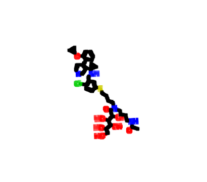 CC(=O)NCCCCN(CCCCSc1ccc(Cl)c(CNC2(c3cnccc3-c3ccccc3OC3CC3)CC2)c1)C(=O)C(O)C(O)C(O)C(O)CO